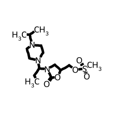 CCC(N1CCN(C(C)C)CC1)N1CC(COS(C)(=O)=O)OC1=O